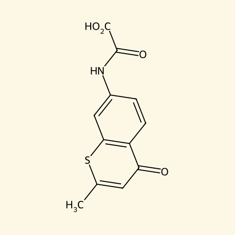 Cc1cc(=O)c2ccc(NC(=O)C(=O)O)cc2s1